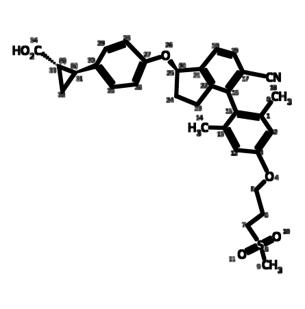 Cc1cc(OCCCS(C)(=O)=O)cc(C)c1-c1c(C#N)ccc2c1CC[C@H]2Oc1ccc([C@H]2C[C@@H]2C(=O)O)cc1